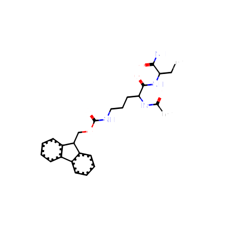 CCCC(=O)NC(CCCNC(=O)OCC1c2ccccc2-c2ccccc21)C(=O)NC(CC(C)C)C(N)=O